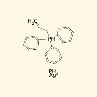 C=CC[PH](c1ccccc1)(c1ccccc1)c1ccccc1.P.[Ag]